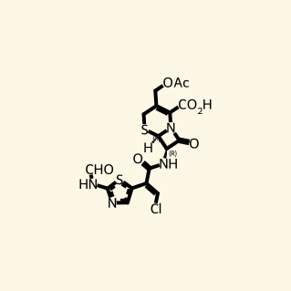 CC(=O)OCC1=C(C(=O)O)N2C(=O)[C@@H](NC(=O)C(=CCl)c3cnc(NC=O)s3)[C@H]2SC1